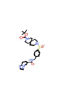 CC(C)(C)OC(=O)N1CCC2(CC1)CCN([S+]([O-])c1ccc(CNC(=O)c3ccc4nccn4c3)cc1)CC2